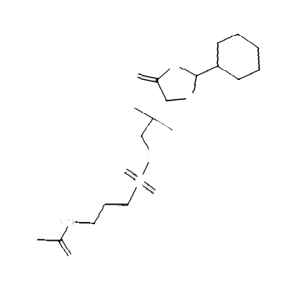 CC(=O)NCCCS(=O)(=O)OCC(C)(C)[C@H]1OC(C2CCCCC2)OC1=O